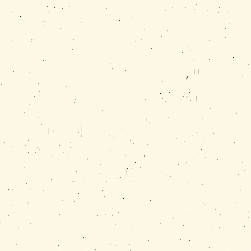 CCC(NC(=O)c1cn(-c2c(F)cc(F)cc2F)c2nc(N3C[C@@H](C)NC3=O)ccc2c1=O)C(F)(F)F